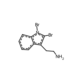 NCCc1c(Br)n(Br)c2ccccc12